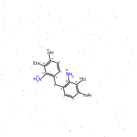 CCCc1ccc(Cc2ccc(CCC)c(CC)c2N)c(N)c1CC